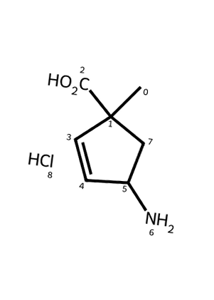 CC1(C(=O)O)C=CC(N)C1.Cl